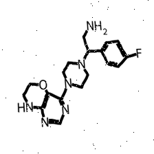 NCC(c1ccc(F)cc1)N1CCN(c2ncnc3c2OCCN3)CC1